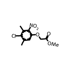 COC(=O)COc1cc(C)c(Cl)c(C)c1[N+](=O)[O-]